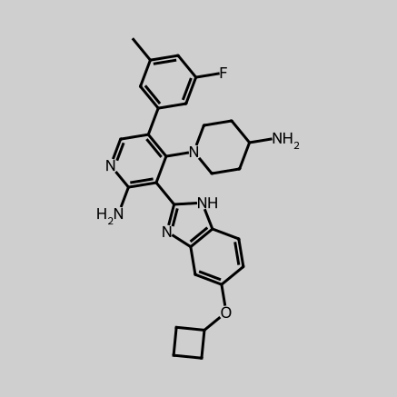 Cc1cc(F)cc(-c2cnc(N)c(-c3nc4cc(OC5CCC5)ccc4[nH]3)c2N2CCC(N)CC2)c1